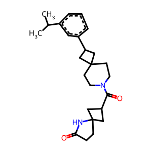 CC(C)c1cccc(C2CC3(CCN(C(=O)C4CC5(CCC(=O)N5)C4)CC3)C2)c1